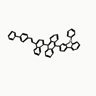 C(=C\c1ccc(-c2c3ccccc3c(-c3ccc4c5ccccc5n(-c5ccccc5)c4c3)c3ccccc23)c2ccccc12)/c1ccc(-c2ccccc2)cc1